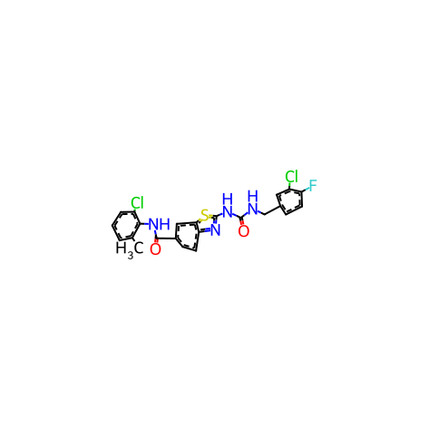 Cc1cccc(Cl)c1NC(=O)c1ccc2nc(NC(=O)NCc3ccc(F)c(Cl)c3)sc2c1